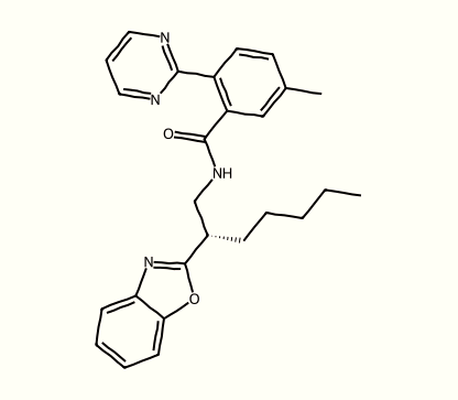 CCCCC[C@@H](CNC(=O)c1cc(C)ccc1-c1ncccn1)c1nc2ccccc2o1